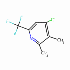 Cc1nc(C(F)(F)F)cc(Cl)c1C